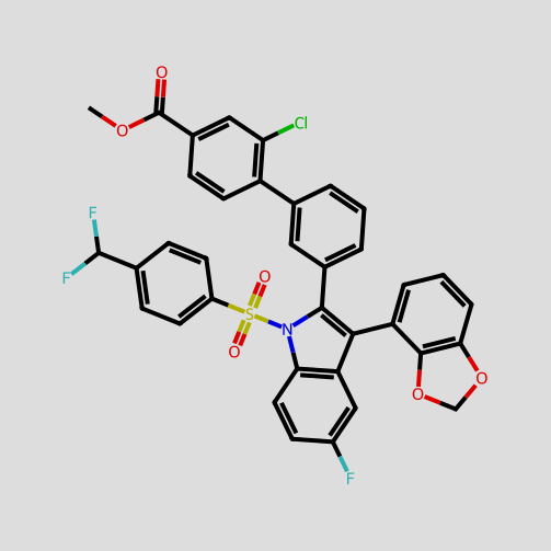 COC(=O)c1ccc(-c2cccc(-c3c(-c4cccc5c4OCO5)c4cc(F)ccc4n3S(=O)(=O)c3ccc(C(F)F)cc3)c2)c(Cl)c1